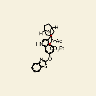 CCOC(=O)CN(C(C)=O)C1C[C@H]2CC[C@@H](C1)N2Cc1c[nH]c2cc(Oc3nc4ccccc4s3)ccc12